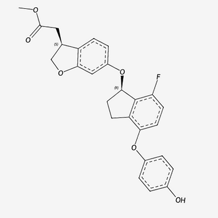 COC(=O)C[C@@H]1COc2cc(O[C@@H]3CCc4c(Oc5ccc(O)cc5)ccc(F)c43)ccc21